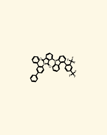 O=C1c2cccc(-n3c4ccccc4c4c(-c5ccc(C(F)(F)F)cc5C(F)(F)F)cccc43)c2C(=O)N1c1ccc(-c2ccccc2)cc1-c1ccccc1